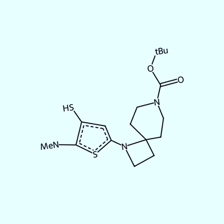 CNc1sc(N2CCC23CCN(C(=O)OC(C)(C)C)CC3)cc1S